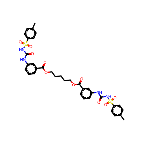 Cc1ccc(S(=O)(=O)NC(=O)Nc2cccc(C(=O)OCCCCCOC(=O)c3cccc(NC(=O)NS(=O)(=O)c4ccc(C)cc4)c3)c2)cc1